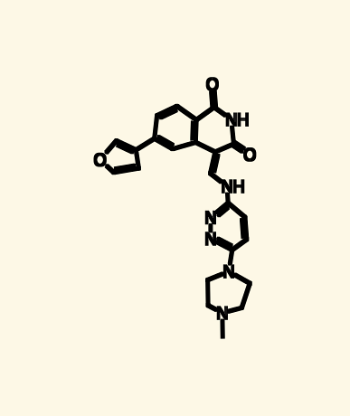 CN1CCN(c2ccc(NC=C3C(=O)NC(=O)c4ccc(-c5ccoc5)cc43)nn2)CC1